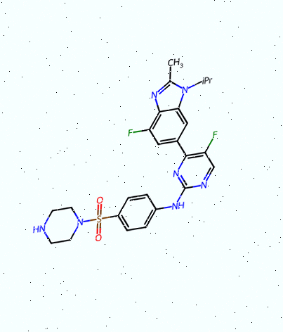 Cc1nc2c(F)cc(-c3nc(Nc4ccc(S(=O)(=O)N5CCNCC5)cc4)ncc3F)cc2n1C(C)C